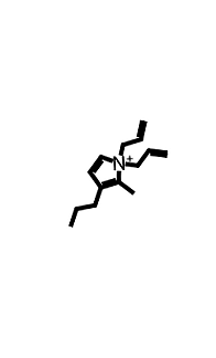 C=CC[N+]1(CC=C)C=CC(CCC)=C1C